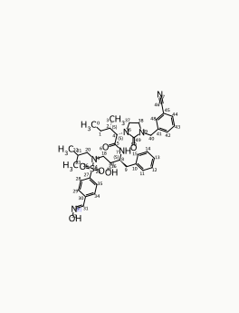 CC[C@H](C)[C@@H](C(=O)N[C@@H](Cc1ccccc1)[C@H](O)CN(CC(C)C)S(=O)(=O)c1ccc(/C=N/O)cc1)N1CCN(Cc2cccc(C#N)c2)C1=O